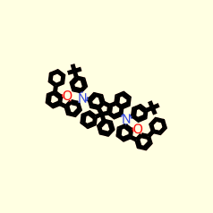 CC(C)(C)c1ccc(N(c2ccc3c(c2)C(c2ccccc2)(c2ccccc2)c2cc(N(c4ccc(C(C)(C)C)cc4)c4cccc5c4oc4c(C6CCCCC6)cccc45)c4ccccc4c2-3)c2cccc3c2oc2c(C4CCCCC4)cccc23)cc1